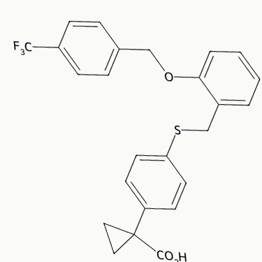 O=C(O)C1(c2ccc(SCc3ccccc3OCc3ccc(C(F)(F)F)cc3)cc2)CC1